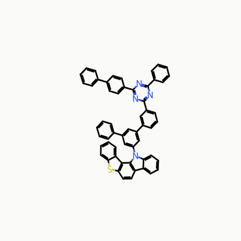 c1ccc(-c2ccc(-c3nc(-c4ccccc4)nc(-c4cccc(-c5cc(-c6ccccc6)cc(-n6c7ccccc7c7ccc8sc9ccccc9c8c76)c5)c4)n3)cc2)cc1